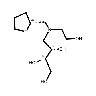 OCCN(C[C@H]1CCCO1)C[C@H](O)[C@@H](O)CO